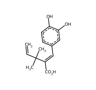 C=CC(C)(C)C(=Cc1ccc(O)c(O)c1)C(=O)O